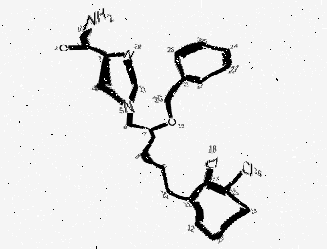 NC(=O)c1cn(C[C@H](CCCc2cccc(Cl)c2Cl)OCc2ccccc2)cn1